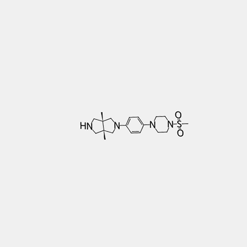 C[C@@]12CNC[C@]1(C)CN(c1ccc(N3CCN(S(C)(=O)=O)CC3)cc1)C2